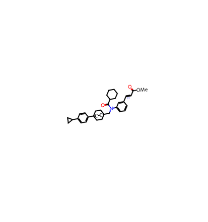 COC(=O)/C=C/c1cccc(N(CC23CCC(c4ccc(C5CC5)cc4)(CC2)CC3)C(=O)C2CCCCC2)c1